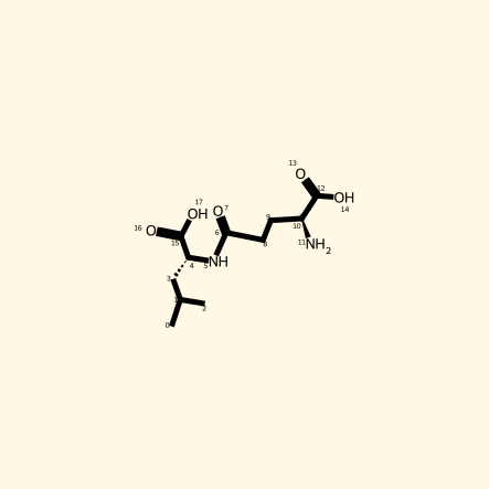 CC(C)C[C@@H](NC(=O)CC[C@H](N)C(=O)O)C(=O)O